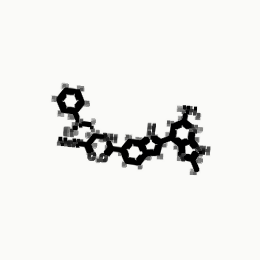 CCN(C[C@H](NC(=O)c1ccc2cc(-c3cc(N)nc4[nH]c(C)nc34)[nH]c2c1)C(=O)NC)c1ccccc1